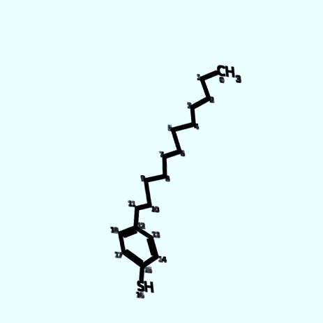 CCCCCCCCCCCCc1ccc(S)cc1